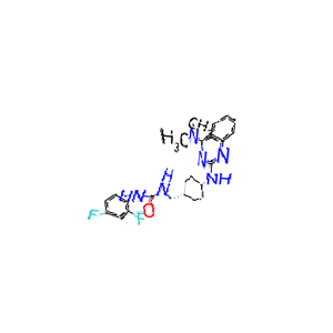 CN(C)c1nc(N[C@H]2CC[C@@H](CNC(=O)Nc3ccc(F)cc3F)CC2)nc2ccccc12